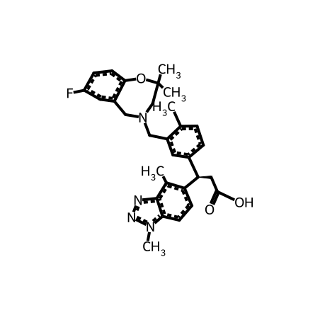 Cc1ccc([C@@H](CC(=O)O)c2ccc3c(nnn3C)c2C)cc1CN1Cc2cc(F)ccc2OC(C)(C)C1